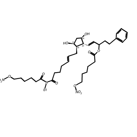 CCN(C(=O)CCCC=CC[C@@H]1[C@@H](C=CC(CCc2ccccc2)OC(=O)CCCCCO[N+](=O)[O-])[C@H](O)C[C@@H]1O)C(=O)CCCCCO[N+](=O)[O-]